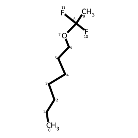 CCCCCCCOC(C)(F)F